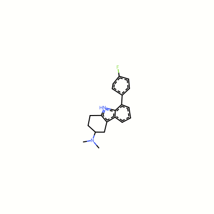 CN(C)C1CCc2[nH]c3c(-c4ccc(F)cc4)cccc3c2C1